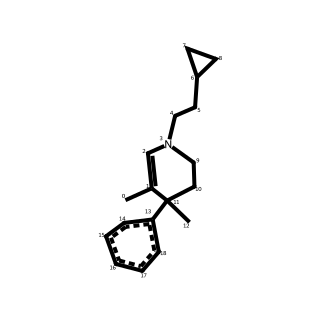 CC1=CN(CCC2CC2)CCC1(C)c1ccccc1